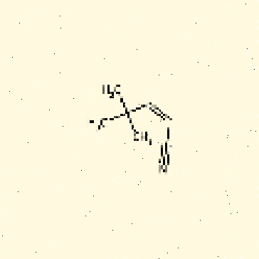 CC(C)(C)/C=C\C#N